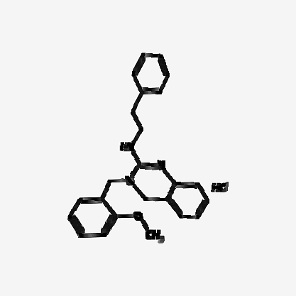 COc1ccccc1CN1Cc2ccccc2N=C1NCCc1ccccc1.Cl